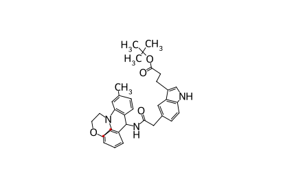 Cc1ccc(C(NC(=O)Cc2ccc3[nH]cc(CCC(=O)OC(C)(C)C)c3c2)c2ccccc2)c(N2CCOCC2)c1